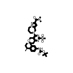 C[C@H]1CC[C@]2(Cc3nc(S(C)(=O)=O)nc(N4CCCn5nc(C(=O)N(C)C)cc5C4)c3CO2)c2cc(NC(=O)OC(C)(C)C)ccc21